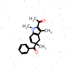 CC(=O)c1c(C)c2c(n1C)C=CC(C)(C(=O)c1ccccc1)C2